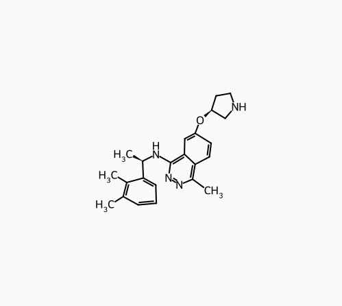 Cc1cccc([C@@H](C)Nc2nnc(C)c3ccc(O[C@H]4CCNC4)cc23)c1C